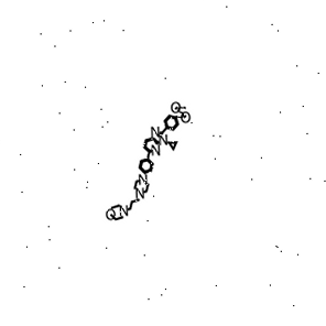 CS(=O)(=O)c1ccc(-c2nc3ccc(-c4ccc(N5CCN(CCCN6CCOCC6)CC5)cc4)nc3n2C2CC2)cc1